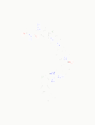 O=C1CCC(Nc2ccc(N3CCN(CC4(F)CCN(C(=O)[C@H]5CC[C@H](Nc6ncc(F)c(-c7cccc(C8CC8)c7)n6)CC5)CC4)CC3)c(F)c2)C(=O)N1